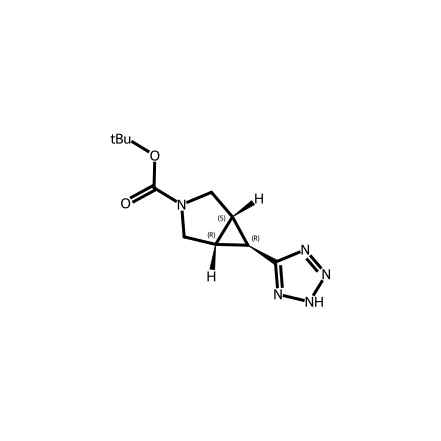 CC(C)(C)OC(=O)N1C[C@@H]2[C@H](C1)[C@H]2c1nn[nH]n1